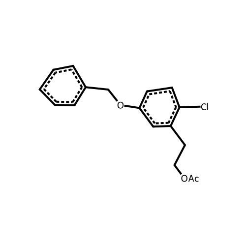 CC(=O)OCCc1cc(OCc2ccccc2)ccc1Cl